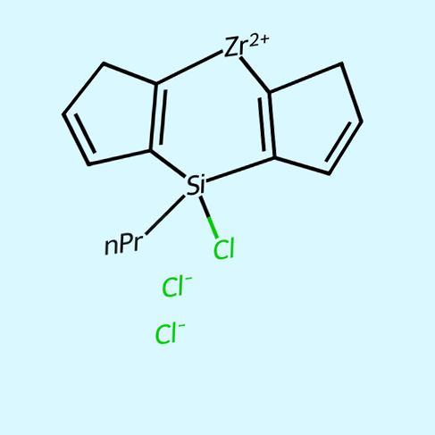 CCC[Si]1(Cl)C2=[C](CC=C2)[Zr+2][C]2=C1C=CC2.[Cl-].[Cl-]